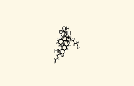 CCCCC(=O)Nc1ccc(Cn2c(CCCC)nc3c(NC(=O)O)nc4ccccc4c32)cc1